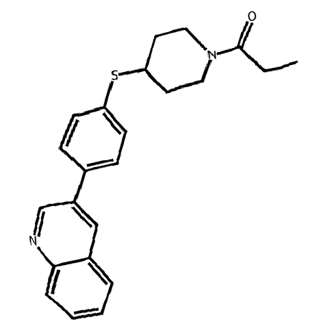 CCC(=O)N1CCC(Sc2ccc(-c3cnc4ccccc4c3)cc2)CC1